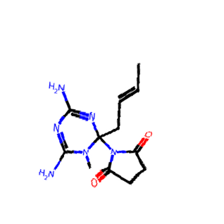 CC=CCC1(N2C(=O)CCC2=O)N=C(N)N=C(N)N1C